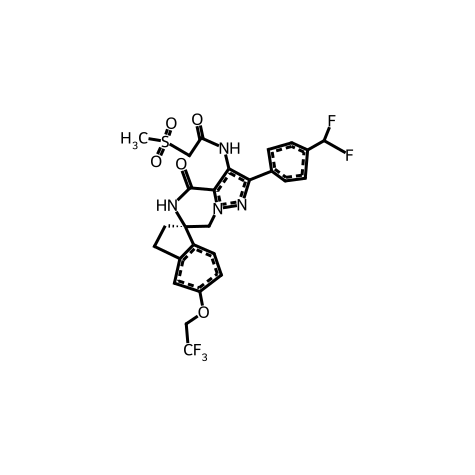 CS(=O)(=O)CC(=O)Nc1c(-c2ccc(C(F)F)cc2)nn2c1C(=O)N[C@@]1(CCc3cc(OCC(F)(F)F)ccc31)C2